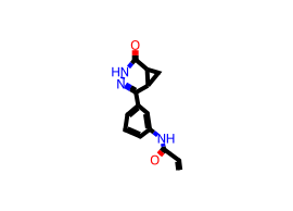 C=CC(=O)Nc1cccc(C2=NNC(=O)C3CC23)c1